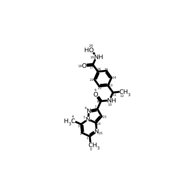 Cc1cc(C)n2nc(C(=O)NC(C)c3ccc(C(=O)NO)cc3)cc2n1